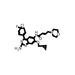 Nc1nc(C2=CCC(F)(Cl)C=C2)c2cc(NC(=O)C=CCN3CCOCC3)c(OCC3CC3)cc2n1